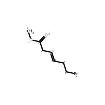 COC(=O)C/C=C/CCBr